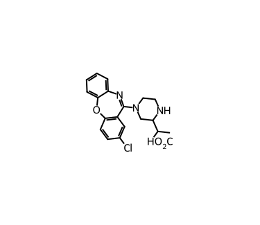 CC(C(=O)O)C1CN(C2=Nc3ccccc3Oc3ccc(Cl)cc32)CCN1